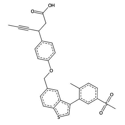 CC#CC(CC(=O)O)c1ccc(OCc2ccc3scc(-c4cc(S(C)(=O)=O)ccc4C)c3c2)cc1